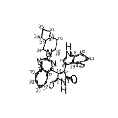 O=C1NC(=O)C(c2c[nH]c3ccsc23)=C1c1nc(N2CCN3CCCC3C2)nc2ccccc12